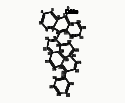 COc1c2ccccc2c(-c2ccc3ccc4c(-c5ccccc5)ccc5ccc2c3c54)c2ccccc12